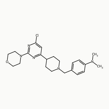 CN(C)c1ccc(CN2CCC(c3cc(Cl)nc(N4CCOCC4)n3)CC2)cc1